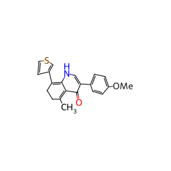 COc1ccc(-c2c[nH]c3c(c2=O)=C(C)CCC=3c2ccsc2)cc1